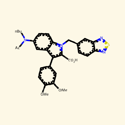 CCCCN(C(C)=O)c1ccc2c(c1)c(-c1ccc(OC)c(OC)c1)c(C(=O)O)n2Cc1ccc2nsnc2c1